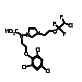 O=C(O)N(CCOc1c(Cl)cc(Cl)cc1Cl)N1C=CN(CCOC(F)(F)C(F)Cl)C1